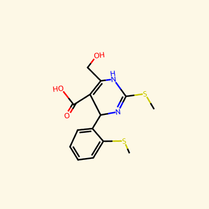 CSC1=NC(c2ccccc2SC)C(C(=O)O)=C(CO)N1